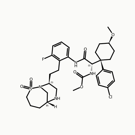 COC(=O)N[C@H](C(=O)Nc1cccc(F)c1CC[C@H]1CN[C@@H]2CCCS(=O)(=O)N1C2)[C@]1(c2ccc(Cl)cc2)CC[C@@H](OC)CC1